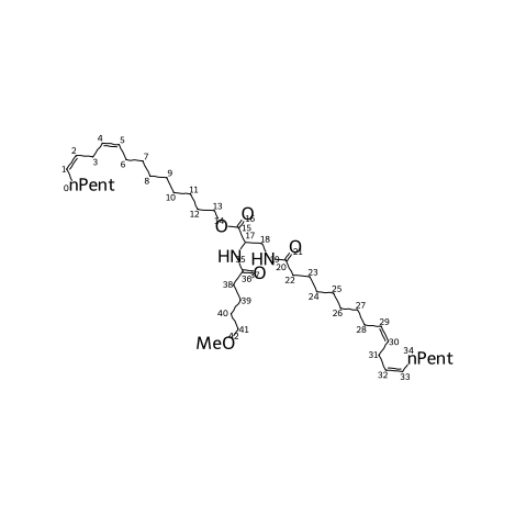 CCCCC/C=C\C/C=C\CCCCCCCCOC(=O)C(CNC(=O)CCCCCCC/C=C\C/C=C\CCCCC)NC(=O)CCCCOC